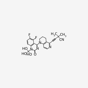 CC(C)(C#N)C#Cc1nccc2c1CCCN2c1nc(=O)n(C(O)(O)O)c2ccc(F)c(F)c12